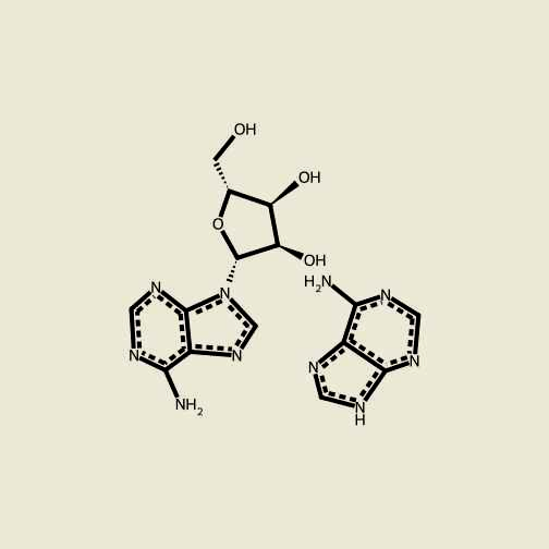 Nc1ncnc2[nH]cnc12.Nc1ncnc2c1ncn2[C@@H]1O[C@H](CO)[C@@H](O)[C@H]1O